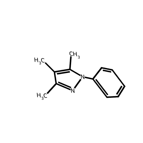 Cc1nn(-c2ccccc2)c(C)c1C